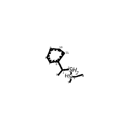 CC([SiH2][SiH](C)C)c1ccccc1